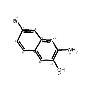 Nc1nc2cc(Br)ccc2cc1O